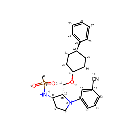 CS(=O)(=O)N[C@H]1CCN(c2cccc(C#N)c2)[C@H]1CO[C@H]1CC[C@@H](c2ccccc2)CC1